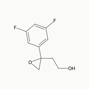 OCCC1(c2cc(F)cc(F)c2)CO1